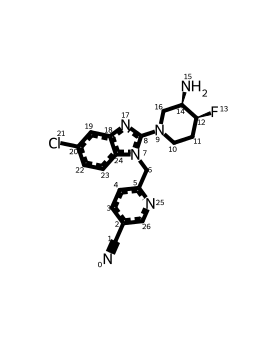 N#Cc1ccc(Cn2c(N3CC[C@H](F)[C@H](N)C3)nc3cc(Cl)ccc32)nc1